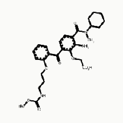 CN(C(=O)c1ccc(C(=O)c2ccccc2OCCCNC(=O)OC(C)(C)C)c(OCC(=O)O)c1N)C1CCCCC1